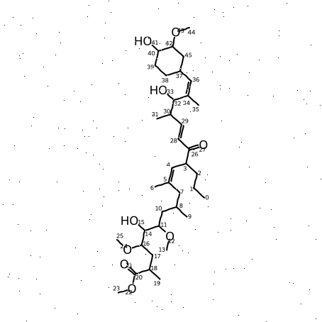 CCCC(C=C(C)CC(C)CC(OC)C(O)C(CC(C)C(=O)OC)OC)C(=O)C=CC(C)C(O)C(C)=CC1CCC(O)C(OC)C1